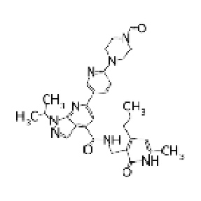 CCCc1cc(C)[nH]c(=O)c1CNC(=O)c1cc(-c2ccc(N3CCN(C=O)CC3)nc2)nc2c1cnn2C(C)C